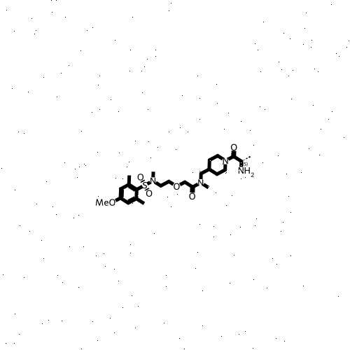 COc1cc(C)c(S(=O)(=O)N(C)CCOCC(=O)N(C)CC2CCN(C(=O)[C@H](C)N)CC2)c(C)c1